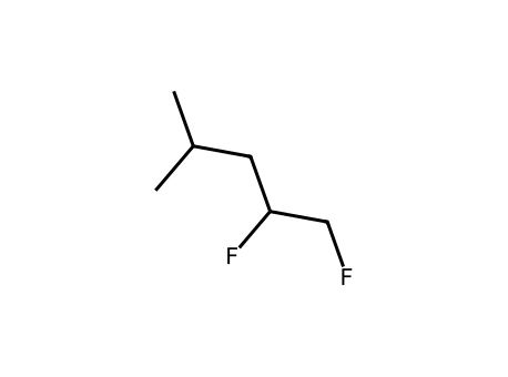 CC(C)CC(F)CF